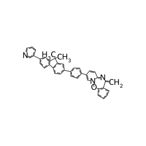 C=C1N=C2C=CC(c3ccc(-c4ccc5c(c4)C(C)(C)c4cc(-c6cccnc6)ccc4-5)cc3)=CN2Oc2ccccc21